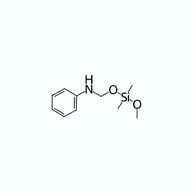 CO[Si](C)(C)OCNc1ccccc1